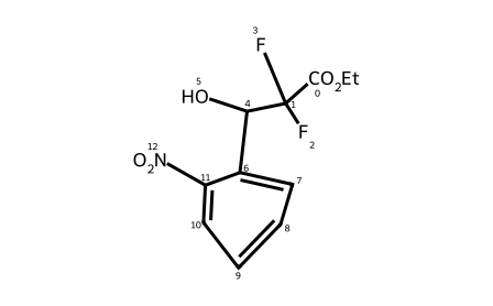 CCOC(=O)C(F)(F)C(O)c1ccccc1[N+](=O)[O-]